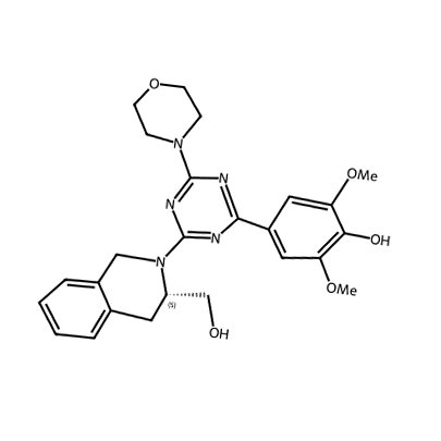 COc1cc(-c2nc(N3CCOCC3)nc(N3Cc4ccccc4C[C@H]3CO)n2)cc(OC)c1O